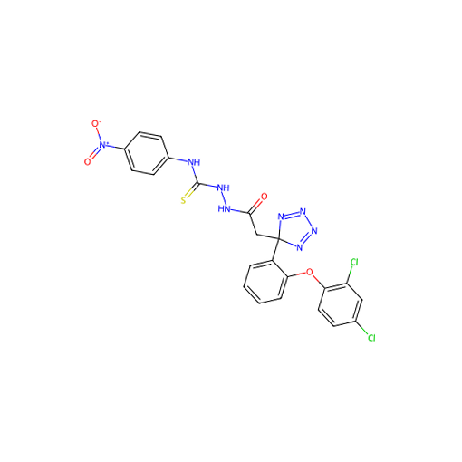 O=C(CC1(c2ccccc2Oc2ccc(Cl)cc2Cl)N=NN=N1)NNC(=S)Nc1ccc([N+](=O)[O-])cc1